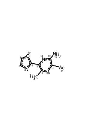 CC(=O)c1nc(C)c(-c2ncco2)nc1N